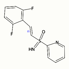 N=S(=O)(/C=C/c1c(F)cccc1F)c1ccccn1